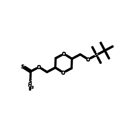 C[SH2]C(=S)OCC1COC(CO[Si](C)(C)C(C)(C)C)CO1